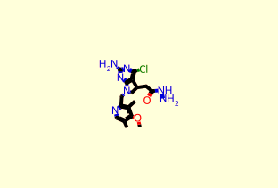 COc1c(C)cnc(CN2CC(CC(=O)NN)c3c(Cl)nc(N)nc32)c1C